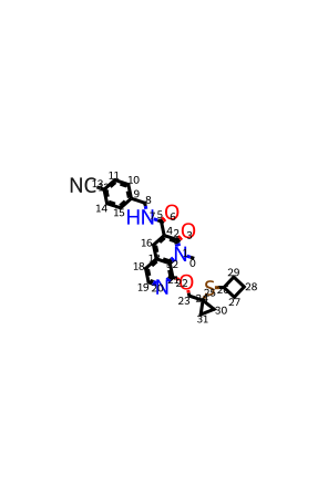 Cn1c(=O)c(C(=O)NCc2ccc(C#N)cc2)cc2ccnc(OCC3(SC4CCC4)CC3)c21